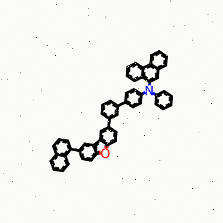 c1ccc(N(c2ccc(-c3cccc(-c4ccc5oc6ccc(-c7cccc8ccccc78)cc6c5c4)c3)cc2)c2cc3ccccc3c3ccccc23)cc1